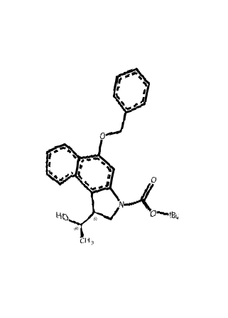 C[C@@H](O)[C@@H]1CN(C(=O)OC(C)(C)C)c2cc(OCc3ccccc3)c3ccccc3c21